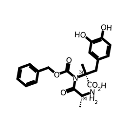 C[C@@H](N)C(=O)N(C(=O)OCc1ccccc1)[C@@](C)(Cc1ccc(O)c(O)c1)C(=O)O